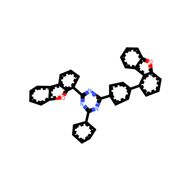 c1ccc(-c2nc(-c3ccc(-c4cccc5oc6ccccc6c45)cc3)nc(-c3cccc4c3oc3ccccc34)n2)cc1